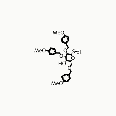 CCS[C@@H]1O[C@H](COCc2ccc(OC)cc2)[C@H](O)[C@H](OCc2ccc(OC)cc2)[C@H]1OCc1ccc(OC)cc1